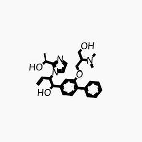 C=CC(C(O)c1ccc(-c2ccccc2)c(OCC(CO)N(C)C)c1)n1ccnc1[C@H](C)O